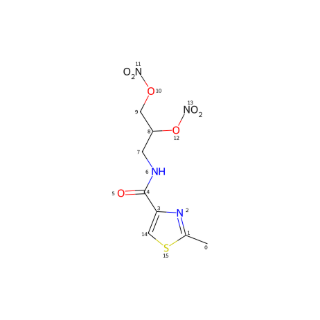 Cc1nc(C(=O)NCC(CO[N+](=O)[O-])O[N+](=O)[O-])cs1